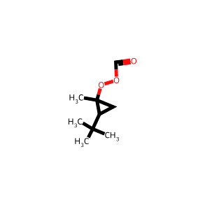 CC(C)(C)C1CC1(C)OOC=O